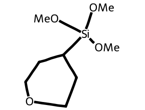 CO[Si](OC)(OC)C1CCOCC1